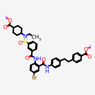 CCN(C1CCC(C(=O)OI)CC1)[S+]([O-])c1cccc(C(=O)Nc2ccc(Br)cc2C(=O)Nc2ccc(CCc3ccc(C(=O)OI)cc3)cc2)c1